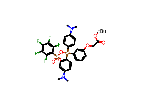 CN(C)c1ccc(S(OS(=O)(=O)c2c(F)c(F)c(F)c(F)c2F)(c2ccc(N(C)C)cc2)c2cccc(OCC(=O)OC(C)(C)C)c2)cc1